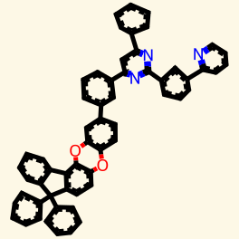 c1ccc(-c2cc(-c3cccc(-c4ccc5c(c4)Oc4c(ccc6c4-c4ccccc4C6(c4ccccc4)c4ccccc4)O5)c3)nc(-c3cccc(-c4ccccn4)c3)n2)cc1